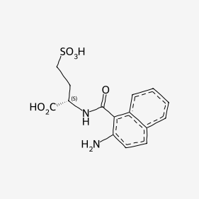 Nc1ccc2ccccc2c1C(=O)N[C@@H](CCS(=O)(=O)O)C(=O)O